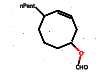 CCCCCC1C=CCC(OC=O)CCC1